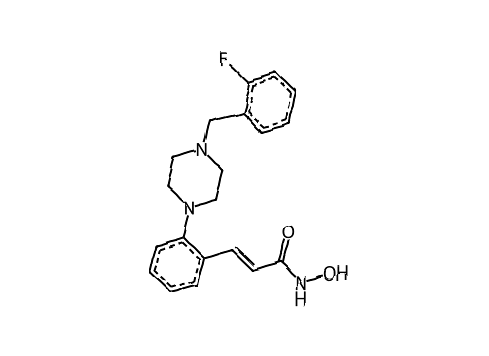 O=C(C=Cc1ccccc1N1CCN(Cc2ccccc2F)CC1)NO